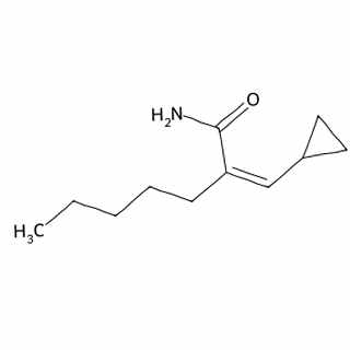 CCCCCC(=CC1CC1)C(N)=O